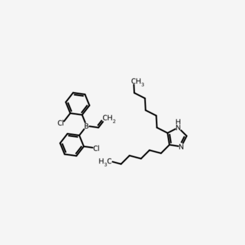 C=CB(c1ccccc1Cl)c1ccccc1Cl.CCCCCCc1nc[nH]c1CCCCCC